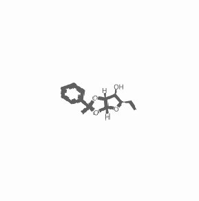 CC[C@H]1O[C@@H]2OC(C)(c3ccccc3)O[C@@H]2[C@H]1O